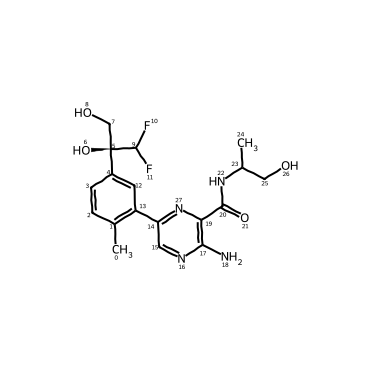 Cc1ccc([C@](O)(CO)C(F)F)cc1-c1cnc(N)c(C(=O)NC(C)CO)n1